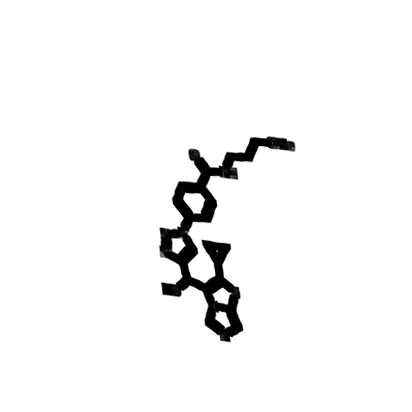 COCCCNC(=O)c1ccc(-n2cc(C(O)c3c(C4CC4)sc4cncn34)nn2)cc1